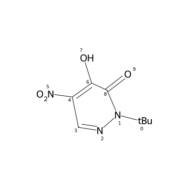 CC(C)(C)n1ncc([N+](=O)[O-])c(O)c1=O